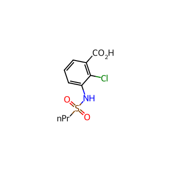 CCCS(=O)(=O)Nc1cccc(C(=O)O)c1Cl